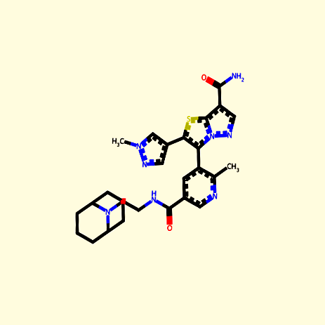 Cc1ncc(C(=O)NCCN2C3CCCC2CCC3)cc1-c1c(-c2cnn(C)c2)sc2c(C(N)=O)cnn12